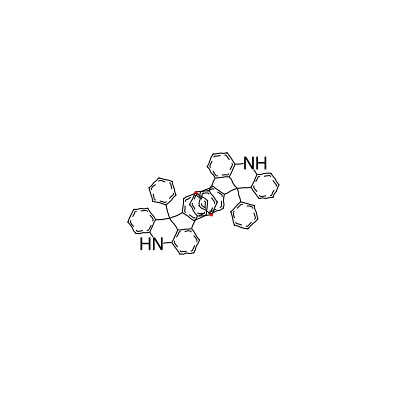 c1ccc(C2(c3ccccc3)c3ccccc3Nc3cccc(-c4ccc(-c5cccc6c5C(c5ccccc5)(c5ccccc5)c5ccccc5N6)cc4)c32)cc1